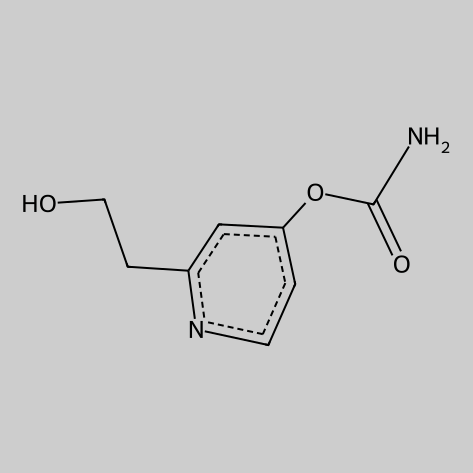 NC(=O)Oc1ccnc(CCO)c1